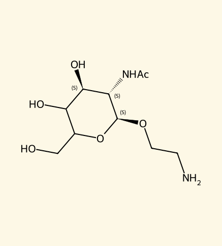 CC(=O)N[C@@H]1[C@@H](OCCN)OC(CO)C(O)[C@H]1O